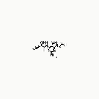 CC#CC(O)NNc1nc(N)nc2c1cnn2CCCl